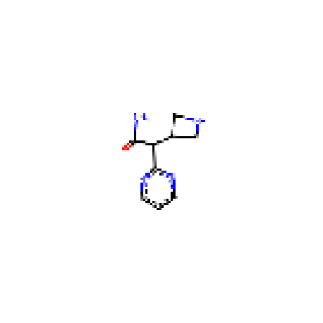 NC(=O)C(c1ncccn1)C1CNC1